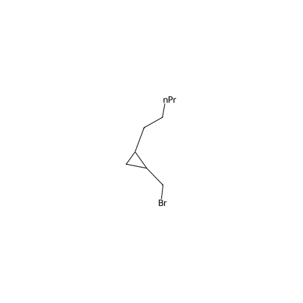 CCCCCC1CC1CBr